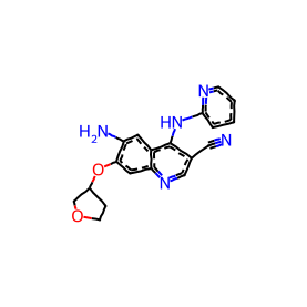 N#Cc1cnc2cc(OC3CCOC3)c(N)cc2c1Nc1ccccn1